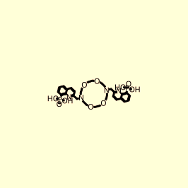 O=P(O)(O)c1cccc2ccc(CN3CCOCCOCCN(Cc4ccc5cccc(P(=O)(O)O)c5n4)CCOCCOCC3)nc12